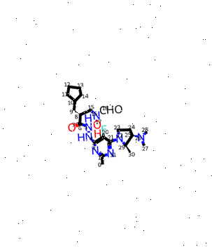 Cc1nc(NNC(=O)[C@H](CC2CCCC2)CN(O)C=O)c(F)c(N2CC[C@@H](N(C)C)[C@H]2C)n1